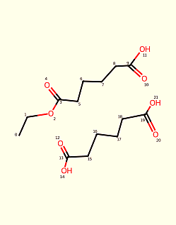 CCOC(=O)CCCCC(=O)O.O=C(O)CCCCC(=O)O